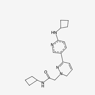 O=C(CN1CC=CC(c2ccc(NC3CCC3)nc2)=N1)NC1CCC1